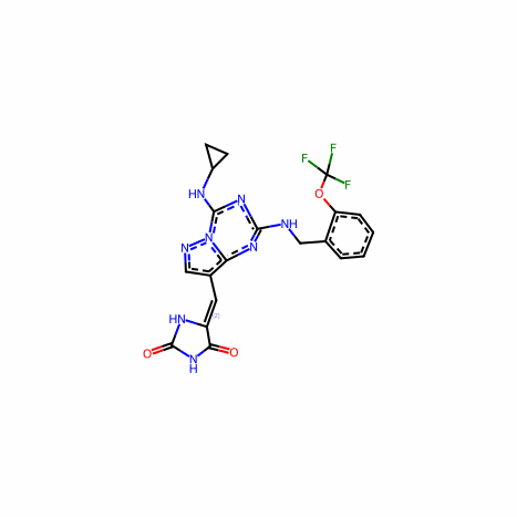 O=C1NC(=O)/C(=C/c2cnn3c(NC4CC4)nc(NCc4ccccc4OC(F)(F)F)nc23)N1